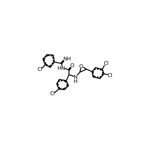 N=C(NC(=O)C(NC1OC1c1ccc(Cl)c(Cl)c1)c1ccc(Cl)cc1)c1cccc(Cl)c1